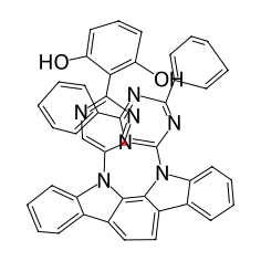 Oc1cccc(O)c1-c1ncc(-n2c3ccccc3c3ccc4c5ccccc5n(-c5nc(-c6ccccc6)nc(-c6ccccc6)n5)c4c32)cn1